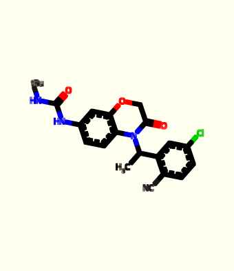 CC(c1cc(Cl)ccc1C#N)N1C(=O)COc2cc(NC(=O)NC(C)(C)C)ccc21